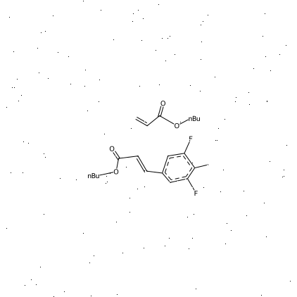 C=CC(=O)OCCCC.CCCCOC(=O)C=Cc1cc(F)c(C)c(F)c1